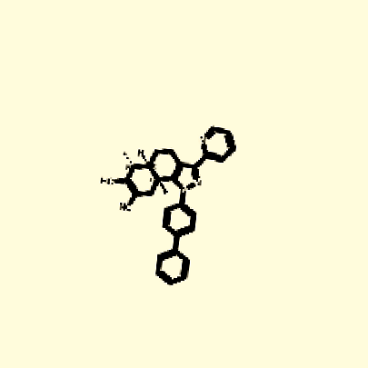 C[C@H]1C(O)=C(C#N)C[C@@]2(C)c3c(c(-c4ccccn4)nn3-c3ccc(-c4ccccc4)cc3)CC[C@H]12